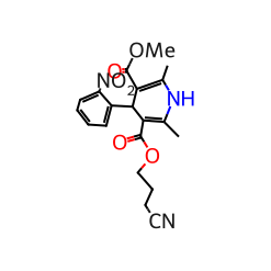 COC(=O)C1=C(C)NC(C)=C(C(=O)OCCCC#N)C1c1ccccc1[N+](=O)[O-]